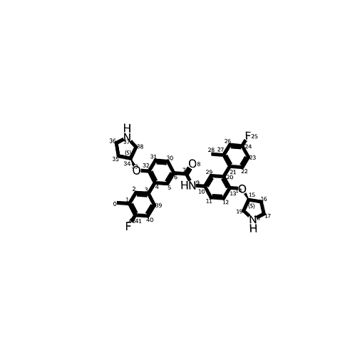 Cc1cc(-c2cc(C(=O)Nc3ccc(O[C@H]4CCNC4)c(-c4ccc(F)cc4C)c3)ccc2O[C@H]2CCNC2)ccc1F